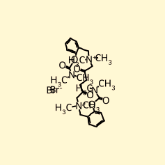 CN(C)C(=O)Oc1ccccc1C[N+](C)(C)CC(=O)CCC(=O)C[N+](C)(C)Cc1ccccc1OC(=O)N(C)C.[Br-].[Br-]